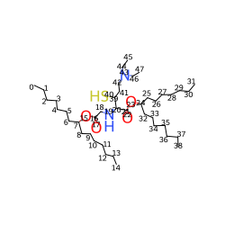 CCCCCCCC(CCCCCCC)OC(=O)CNC(C(=O)OC(CCCCCCC)CCCCCCC)C(S)CCN(CC)CC